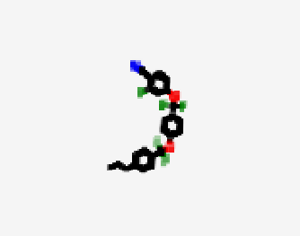 CCCc1ccc(C(F)(F)Oc2ccc(C(F)(F)Oc3ccc(C#N)c(F)c3)cc2)cc1